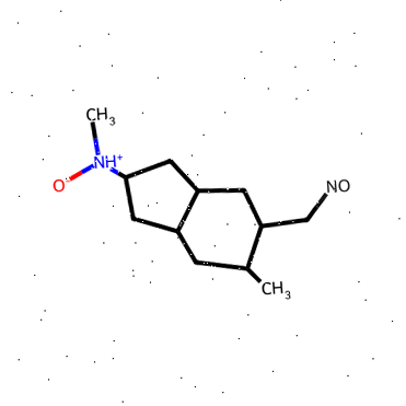 CC1CC2CC([NH+](C)[O-])CC2CC1CN=O